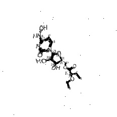 CCO[C@](C)(CC)C(=O)OC[C@H]1O[C@@H](n2ccc(NO)nc2=O)[C@H](O)[C@@H]1O